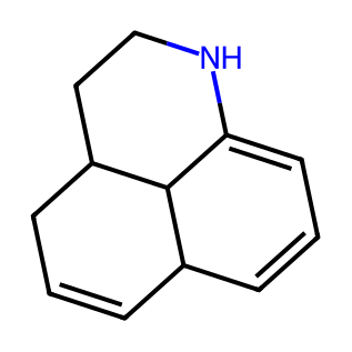 C1=CC2C=CCC3CCNC(=C1)C23